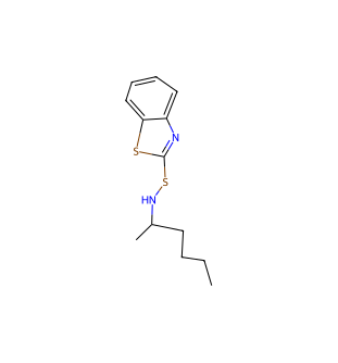 CCCCC(C)NSc1nc2ccccc2s1